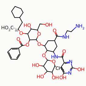 CC1OC(OC2C(NC(=O)c3cc(O)nc(O)n3)CC(C(=O)NCCN)CC2OC2OC(CO)C(O)C(O[C@@H](CC3CCCCC3)C(=O)O)C2OC(=O)c2ccccc2)C(O)C(O)C1O